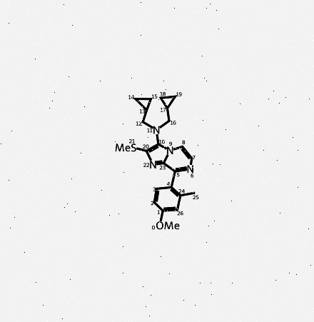 COc1ccc(-c2nccn3c(N(CC4CC4)CC4CC4)c(SC)nc23)c(C)c1